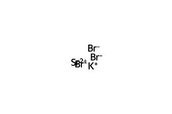 [Br-].[Br-].[Br-].[K+].[Sr+2]